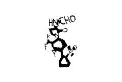 CP(C)(=O)c1ccccc1-c1ccc(N2CCC(NC=O)C2=O)c(C(F)F)c1F